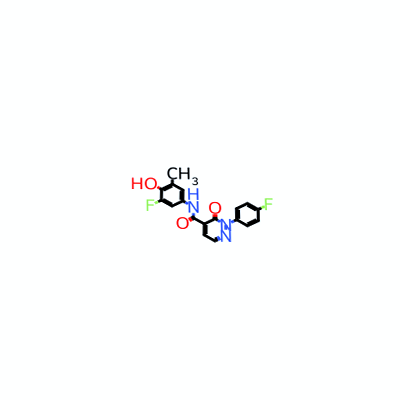 Cc1cc(NC(=O)c2ccnn(-c3ccc(F)cc3)c2=O)cc(F)c1O